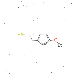 CCOc1ccc(CCS)cc1